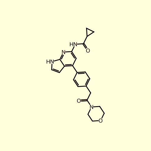 O=C(Nc1cc(-c2ccc(CC(=O)N3CCOCC3)cc2)c2cc[nH]c2n1)C1CC1